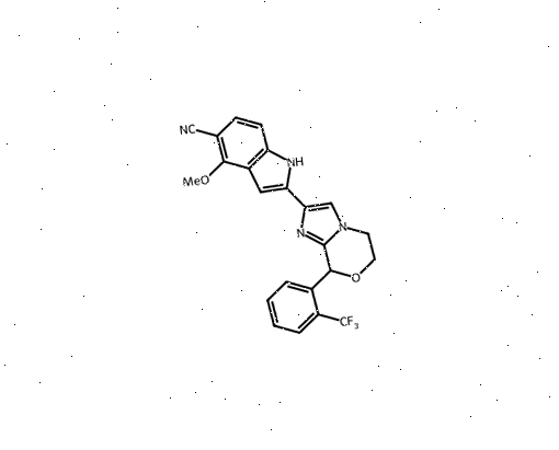 COc1c(C#N)ccc2[nH]c(-c3cn4c(n3)C(c3ccccc3C(F)(F)F)OCC4)cc12